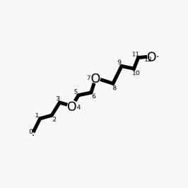 [CH2]CCCOCCOCCCC[O]